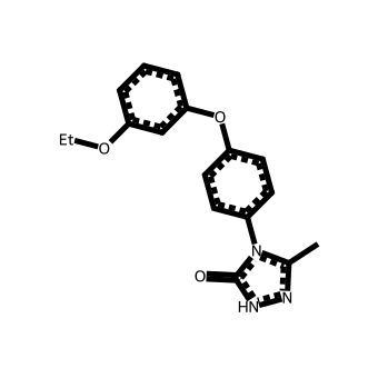 CCOc1cccc(Oc2ccc(-n3c(C)n[nH]c3=O)cc2)c1